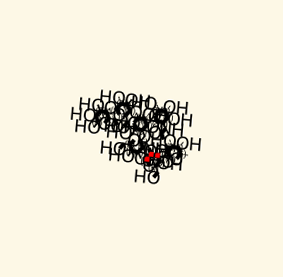 CC(=O)N[C@H]1[C@H](O[C@@H]2[C@@H](O)[C@@H](O[C@@H]3[C@H](O)[C@@H](O)[C@H](O[C@H]4[C@H](O)[C@@H](O)[C@H](O)O[C@@H]4CO)O[C@@H]3CO)O[C@H](CO)[C@@H]2O[C@@H]2O[C@H](CO)[C@H](O)[C@H](O[C@@H]3O[C@H](CO)[C@H](O)[C@H](O[C@H]4[C@H](O)[C@H](O)[C@H](C)O[C@H]4O)[C@H]3O)[C@H]2NC(C)=O)O[C@H](CO)[C@H](O)[C@@H]1O